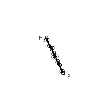 C=CC(=O)OCCCCCCOc1ccc(OC(=O)CCCCOC(=O)c2ccc(OC(=O)CCCCOC(=O)c3ccc(OCCCCCCOC(=O)C=C)cc3)cc2C=O)cc1